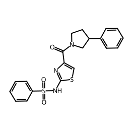 O=C(c1csc(NS(=O)(=O)c2ccccc2)n1)N1CCC(c2ccccc2)C1